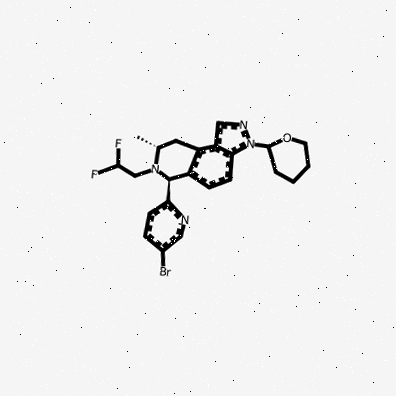 C[C@@H]1Cc2c(ccc3c2cnn3C2CCCCO2)[C@@H](c2ccc(Br)cn2)N1CC(F)F